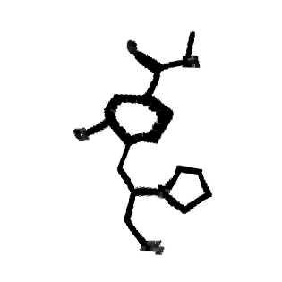 CNC(=O)c1ccc(CC(CN)N2CCCC2)c(Cl)c1